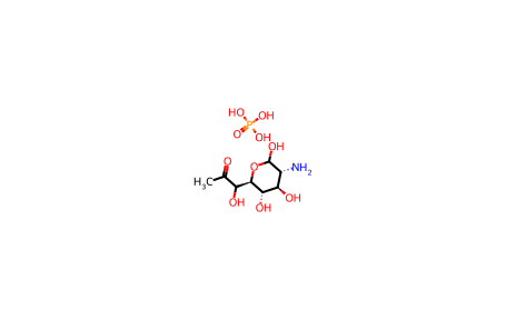 CC(=O)C(O)[C@H]1OC(O)[C@H](N)[C@@H](O)[C@@H]1O.O=P(O)(O)O